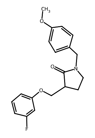 COc1ccc(CN2CCC(COc3cccc(F)c3)C2=O)cc1